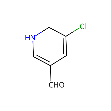 O=CC1=CNCC(Cl)=C1